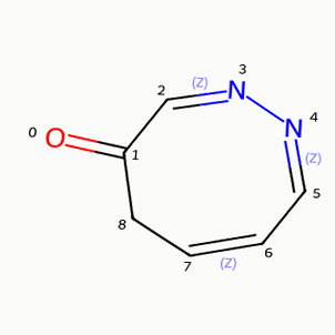 O=C1\C=N/N=C\C=C/C1